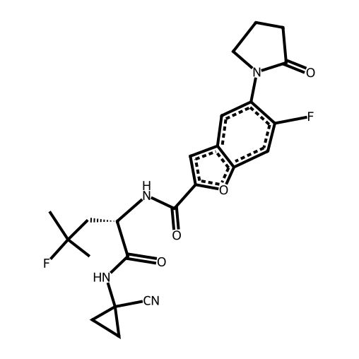 CC(C)(F)C[C@H](NC(=O)c1cc2cc(N3CCCC3=O)c(F)cc2o1)C(=O)NC1(C#N)CC1